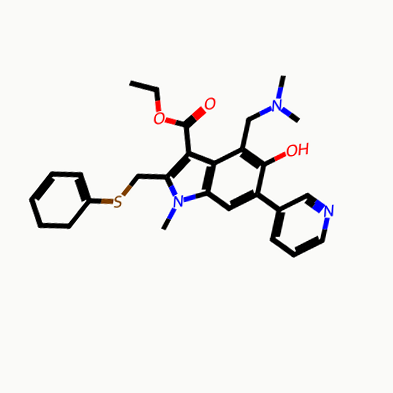 CCOC(=O)c1c(CSC2=CC=CCC2)n(C)c2cc(-c3cccnc3)c(O)c(CN(C)C)c12